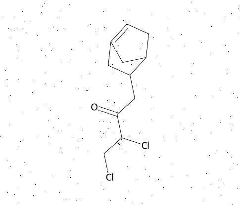 O=C(CC1CC2=CCC1C2)C(Cl)CCl